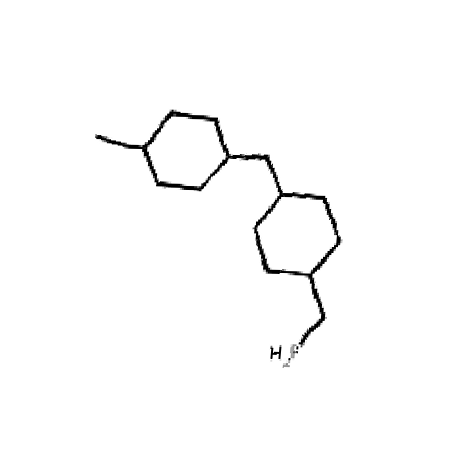 CC1CCC(CC2CCC(CP)CC2)CC1